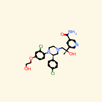 C[C@@](O)(CN1CCN(c2ccc(OCCO)cc2Cl)[C@H](c2ccc(Cl)cc2)C1)c1cncc(C(N)=O)c1